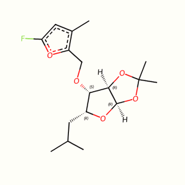 Cc1cc(F)oc1CO[C@@H]1[C@H]2OC(C)(C)O[C@H]2O[C@@H]1CC(C)C